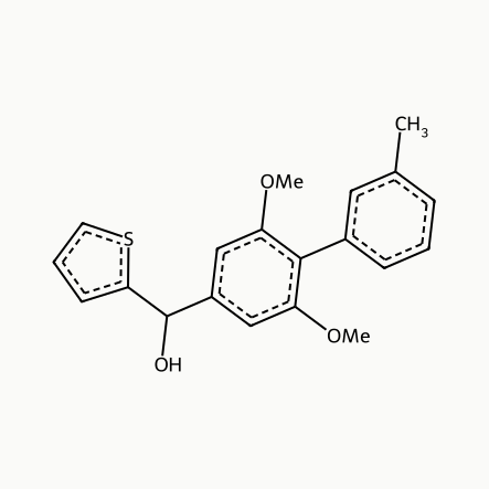 COc1cc(C(O)c2cccs2)cc(OC)c1-c1cccc(C)c1